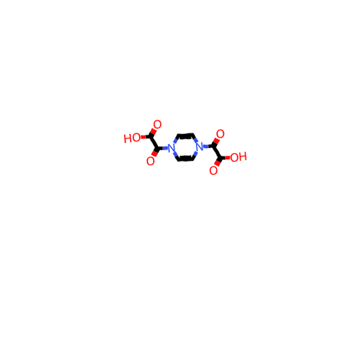 O=C(O)C(=O)N1C=CN(C(=O)C(=O)O)C=C1